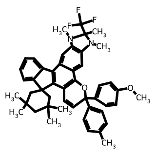 COc1ccc(C2(c3ccc(C)cc3)C=Cc3c4c(c5cc6c(cc5c3O2)N(C)C(C)(C(F)(F)F)N6C)-c2ccccc2C42CC(C)(C)CC(C)(C)C2)cc1